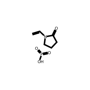 C=CN1CCCC1=O.O=P(=O)O